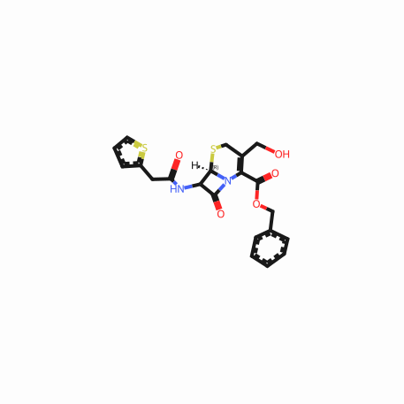 O=C(Cc1cccs1)NC1C(=O)N2C(C(=O)OCc3ccccc3)=C(CO)CS[C@H]12